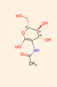 CC(=O)NC1=C(O)O[C@H](CO)[C@@H](O)[C@@H]1O